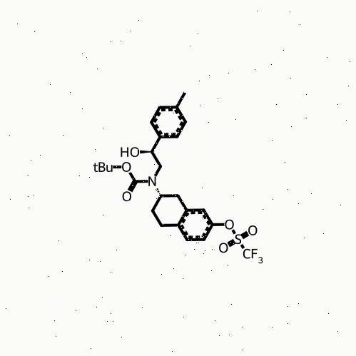 Cc1ccc([C@H](O)CN(C(=O)OC(C)(C)C)[C@H]2CCc3ccc(OS(=O)(=O)C(F)(F)F)cc3C2)cc1